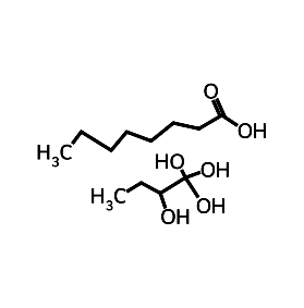 CCC(O)C(O)(O)O.CCCCCCCC(=O)O